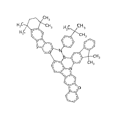 CC(C)(C)c1ccc(N2B3c4cc5c(cc4-n4c6cc7oc8ccccc8c7cc6c6ccc(c3c64)-c3cc4sc6cc7c(cc6c4cc32)C(C)(C)CCC7(C)C)C(C)(C)c2ccccc2-5)cc1